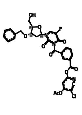 CC(=O)Oc1cc(OC(=O)c2cccc(C(=O)n3c(=O)c(F)cn([C@H]4C[C@H](OCc5ccccc5)[C@@H](CO)O4)c3=O)c2)ncc1Cl